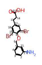 Nc1cccc(COc2c(Br)cc(CCC(=O)O)cc2Br)c1